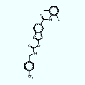 Cc1cccc(Cl)c1NC(=O)c1ccc2nc(NC(=O)NCc3ccc(C(F)(F)F)cc3)sc2c1